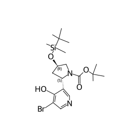 CC(C)(C)OC(=O)N1C[C@H](O[Si](C)(C)C(C)(C)C)C[C@H]1c1cncc(Br)c1O